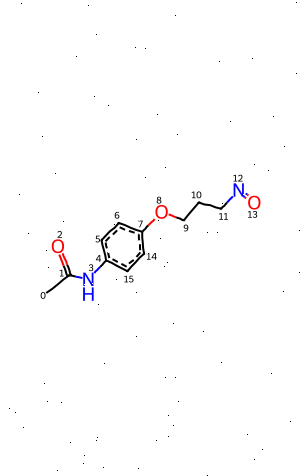 CC(=O)Nc1ccc(OCCCN=O)cc1